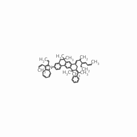 C=C/C(=C\C=C/C)C(=C)/C=C1\C/C(=C(\C)c2ccccc2)C(C)(C)c2cc3c(cc21)C(C)(C)Cc1cc(-n2c(C=C)c(/C=C\C)c4c2C=CC=CC4)ccc1-3